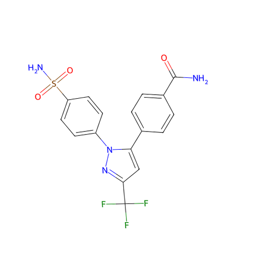 NC(=O)c1ccc(-c2cc(C(F)(F)F)nn2-c2ccc(S(N)(=O)=O)cc2)cc1